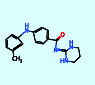 Cc1cccc(Nc2ccc(C(=O)N=C3NCCCN3)cc2)c1